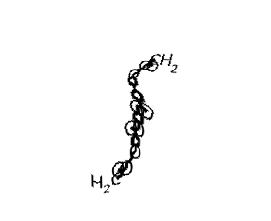 C=CC(=O)OCCCOc1ccc(C(=O)Oc2ccc(OC(=O)c3ccc(-c4ccc(OCCCOC(=O)C=C)cc4)cc3)cc2)cc1